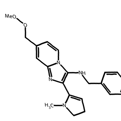 COOCc1ccn2c(NCc3ccccc3)c(C3=CCCN3C)nc2c1